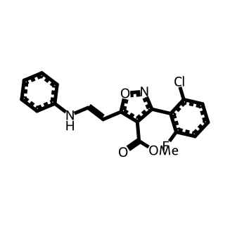 COC(=O)c1c(-c2c(F)cccc2Cl)noc1/C=C/Nc1ccccc1